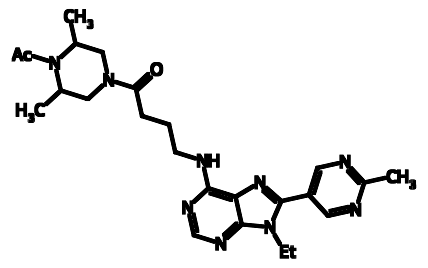 CCn1c(-c2cnc(C)nc2)nc2c(NCCCC(=O)N3CC(C)N(C(C)=O)C(C)C3)ncnc21